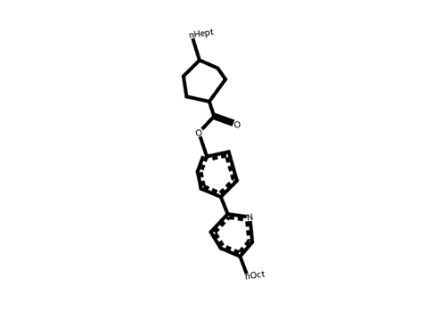 CCCCCCCCc1ccc(-c2ccc(OC(=O)C3CCC(CCCCCCC)CC3)cc2)nc1